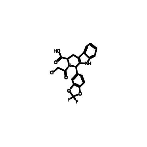 O=C(O)C1Cc2c([nH]c3ccccc23)C(c2ccc3c(c2)OC(F)(F)O3)N1C(=O)CCl